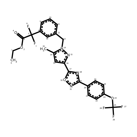 CCOC(=O)C(F)(F)c1cccc(Cn2nc(-c3nc(-c4ccc(OC(F)(F)F)cc4)no3)cc2C)c1